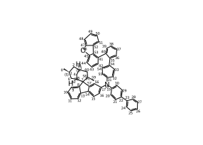 C[C@H]1C[C@@H]2C[C@H](C1)C1(c3ccccc3-c3ccc(N(c4ccc(-c5ccccc5)cc4)c4ccc(-c5ccccc5-c5cccc6oc7ccccc7c56)cc4)cc31)[C@H](C)C2